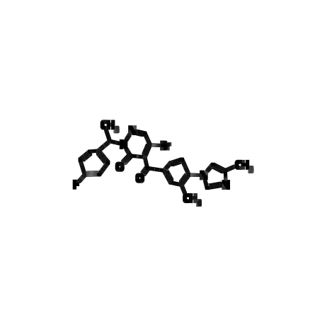 Cc1cn(-c2ccc(C(=O)c3c(Br)cnn(C(C)c4ccc(F)cc4)c3=O)cc2C)cn1